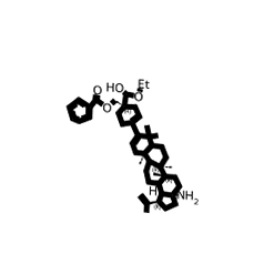 C=C(C)[C@@H]1CC[C@]2(N)CC[C@]3(C)[C@H](CCC4[C@@]5(C)CC=C(C6=CC[C@](COC(=O)c7ccccc7)(C(O)OCC)CC6)C(C)(C)C5CC[C@]43C)C12